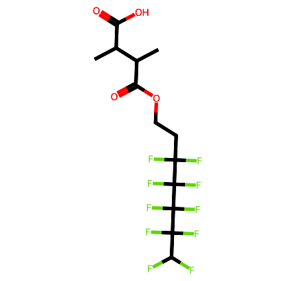 CC(C(=O)O)C(C)C(=O)OCCC(F)(F)C(F)(F)C(F)(F)C(F)(F)C(F)F